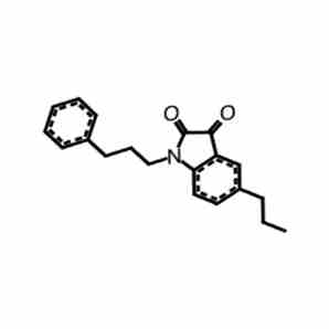 CCCc1ccc2c(c1)C(=O)C(=O)N2CCCc1ccccc1